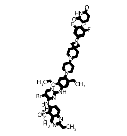 CCOc1cc(N2CCC(N3CCC4(CC3)CN(c3cc(F)c([C@H]5CCC(=O)NC5=O)c(F)c3)C4)CC2)c(CC)cc1Nc1ncc(Br)c(Nc2ccc3nc(CC)ncc3c2P(C)(C)=O)n1